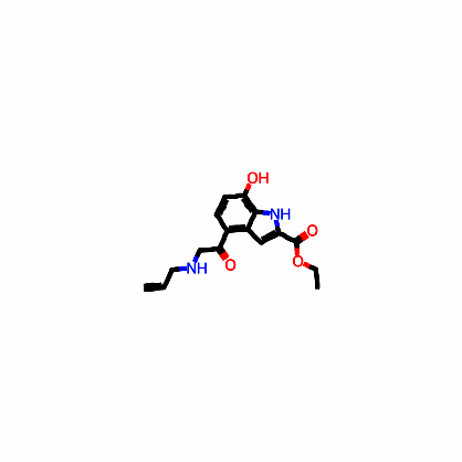 C=CCNCC(=O)c1ccc(O)c2[nH]c(C(=O)OCC)cc12